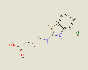 O=C(O)CSCNc1nc2c(Cl)cccc2s1